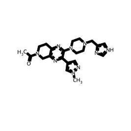 CC(=O)N1CCc2nc(N3CCN(Cc4c[nH]cn4)CC3)c(-c3cnn(C)c3)nc2C1